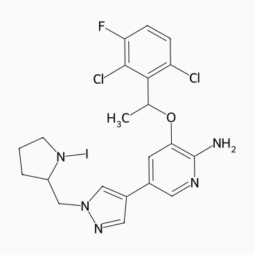 CC(Oc1cc(-c2cnn(CC3CCCN3I)c2)cnc1N)c1c(Cl)ccc(F)c1Cl